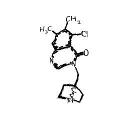 Cc1cc2ncn(CC34CCN(CC3)CC4)c(=O)c2c(Cl)c1C